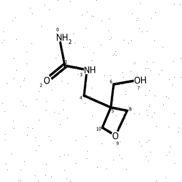 NC(=O)NCC1(CO)COC1